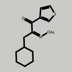 CC(=O)ON=C(CC1CCCCC1)C(=O)c1ccsc1